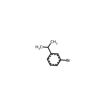 CC(C)c1[c]c(Br)ccc1